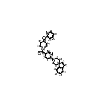 O=C(c1ccc(N2CCC3(C=Cc4ccccc43)CC2)nn1)N1CCC(Oc2ccccn2)CC1